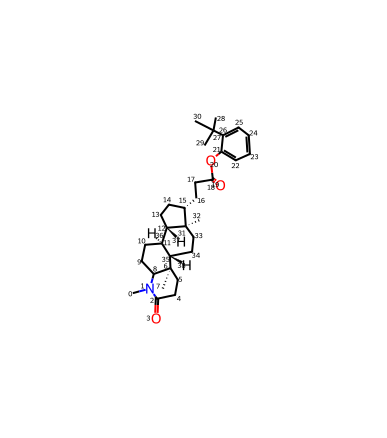 CN1C(=O)CC[C@@]2(C)C1CC[C@H]1[C@@H]3CC[C@H](CCC(=O)Oc4ccccc4C(C)(C)C)[C@@]3(C)CC[C@@H]12